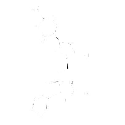 C[C@H](NP(=O)(OC[C@H]1S[C@@H](n2cnc(N)nc2=O)C[C@@H]1O)Oc1ccccc1)C(=O)O